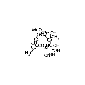 COc1ccc([C@@H]2CN(C(=O)[C@@H](O)CO)C[C@@]2(C)[C@@H](C)O)cc1OC1CN(c2ncc(C)cc2C(=O)O)C1.O=NO